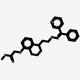 COC(=O)COc1cccc2c1CCCC2CCON=C(c1ccccc1)c1cccnc1